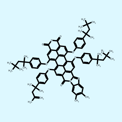 C=C(C)CC(C)(C)c1ccc(Oc2cc3c(=O)n4c5cc(C)c(C)cc5nc4c4cc(Oc5ccc(C(C)(C)CC(C)(C)C)cc5)c5c6c(Oc7ccc(C(C)(C)CC(C)(C)C)cc7)cc7c8c(cc(Oc9ccc(C(C)(C)CC(C)(C)C)cc9)c(c2c5c34)c86)C(=O)OC7=O)cc1